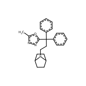 Cc1nnc(C(CCN2C3CCC2CC3)(c2ccccc2)c2ccccc2)o1